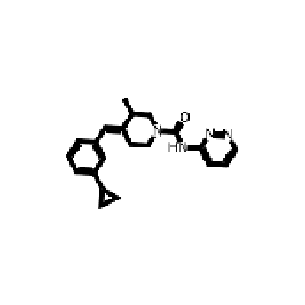 CC1CN(C(=O)Nc2cccnn2)CCC1=Cc1cccc(C2CC2)c1